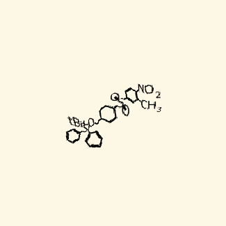 Cc1cc(S(=O)(=O)C2CCC(CO[Si](c3ccccc3)(c3ccccc3)C(C)(C)C)CC2)ccc1[N+](=O)[O-]